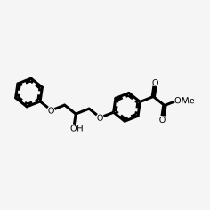 COC(=O)C(=O)c1ccc(OCC(O)COc2ccccc2)cc1